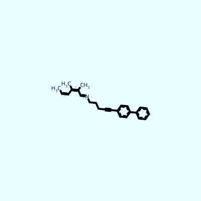 C\C=C/C(C)=C(C)\C=N\CCCC#Cc1ccc(-c2ccccc2)cc1